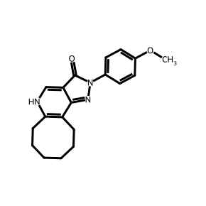 COc1ccc(-n2nc3c4c([nH]cc-3c2=O)CCCCCC4)cc1